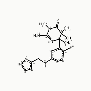 CN1C(=O)C(C)(C)C(C)(c2cc(NCc3cc[nH]n3)ccc2F)N=C1N